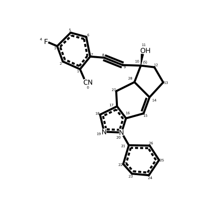 N#Cc1cc(F)ccc1C#C[C@]1(O)CCC2=Cc3c(cnn3-c3ccccc3)CC21